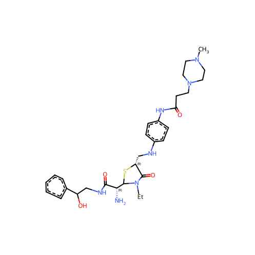 CCN1C(=O)[C@@H](CNc2ccc(NC(=O)CCN3CCN(C)CC3)cc2)SC1[C@H](N)C(=O)NCC(O)c1ccccc1